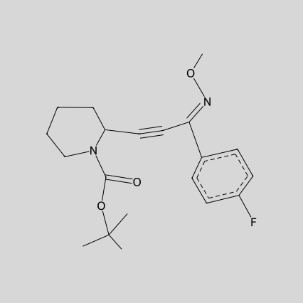 CON=C(C#CC1CCCCN1C(=O)OC(C)(C)C)c1ccc(F)cc1